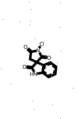 O=C1CC2(C(=O)Nc3ccccc32)C(=O)N1Cl